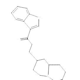 O=C(CCC1CCN2CCCCC2C1)c1c[nH]c2ccccc12